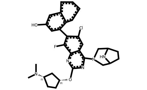 CN(C)[C@H]1CC[C@@H](Oc2nc(N3CC4CCC(C3)N4)c3cc(Cl)c(-c4cc(O)cc5ccccc45)c(F)c3n2)C1